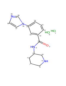 Cl.Cl.O=C(NC1CCCNC1)c1cccc(-n2ccnc2)c1